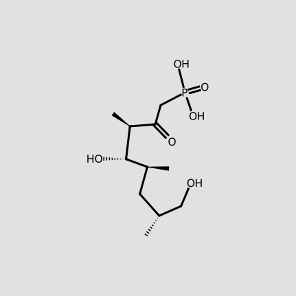 C[C@@H](CO)C[C@H](C)[C@H](O)[C@@H](C)C(=O)CP(=O)(O)O